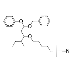 CCC(C)C(CC(OCc1ccccc1)Oc1ccccc1)OCCCCCC(C)(C)C#N